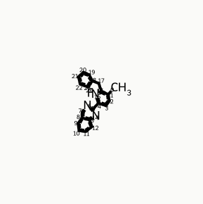 Cc1ccc(-c2ncc3ccccc3n2)nc1Cc1ccccc1F